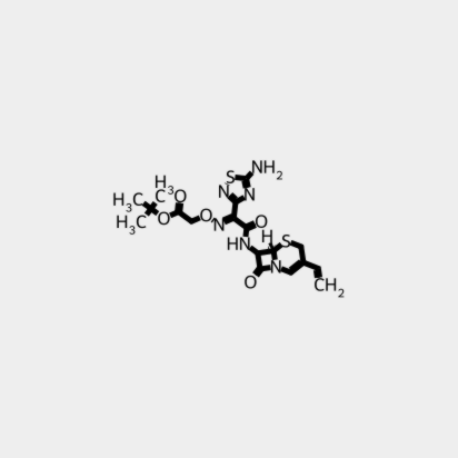 C=CC1=CN2C(=O)C(NC(=O)C(=NOCC(=O)OC(C)(C)C)c3nsc(N)n3)[C@@H]2SC1